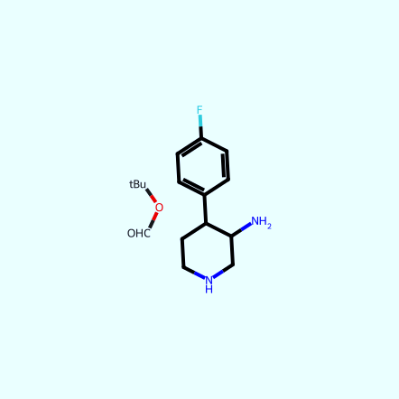 CC(C)(C)OC=O.NC1CNCCC1c1ccc(F)cc1